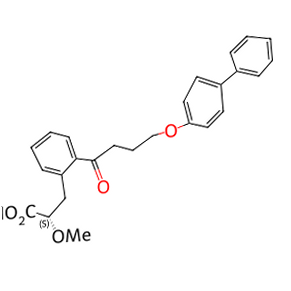 CO[C@@H](Cc1ccccc1C(=O)CCCOc1ccc(-c2ccccc2)cc1)C(=O)O